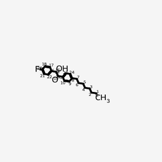 CCCCCCCCc1ccc(C(=O)C(O)c2ccc(F)cc2)cc1